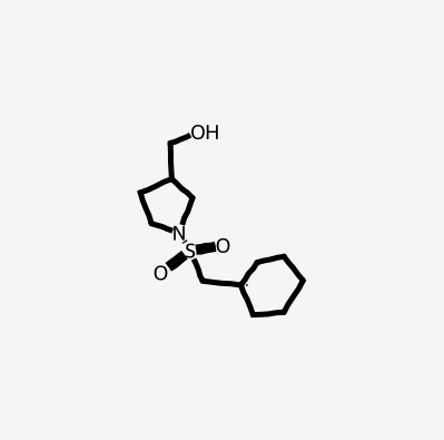 O=S(=O)(C[C]1CCCCC1)N1CCC(CO)C1